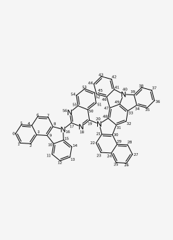 c1ccc2c(c1)ccc1c2c2ccccc2n1-c1nc(-n2c3ccc4ccccc4c3c3cc4c5ccccc5n5c6ccccc6c(c32)c45)c2ccccc2n1